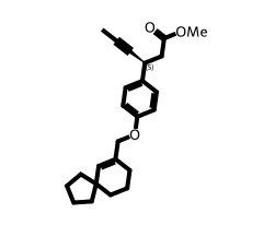 CC#C[C@@H](CC(=O)OC)c1ccc(OCC2=CC3(CCCC3)CCC2)cc1